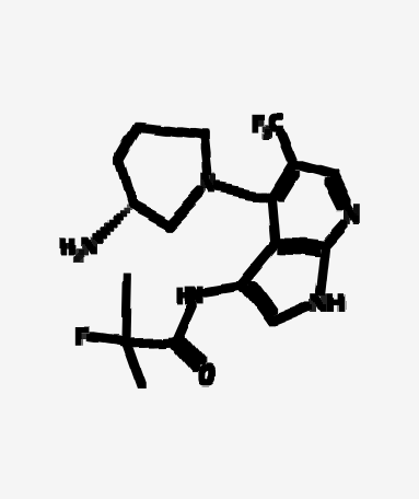 CC(C)(F)C(=O)Nc1c[nH]c2ncc(C(F)(F)F)c(N3CCC[C@@H](N)C3)c12